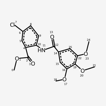 COC(=O)c1cc(Cl)ccc1NC(=O)c1cc(OC)c(OC)c(OC)c1